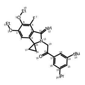 CCOc1cc2c(c(F)c1OCC)C(=N)N(CC(=O)c1cc(C(C)C)cc(C(C)(C)C)c1)C21CC1